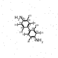 Nc1c(I)c(I)c(-c2c(I)c(I)c(N)c(I)c2I)c(I)c1I